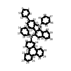 c1ccc(-c2ccc3c4c(N(c5ccccc5)c5ccc6c7ccccc7c7ccccc7c6c5)cc5ccccc5c4n(-c4ccccc4)c3c2)cc1